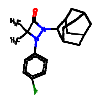 CC1(C)C(=O)N(C2C3CC4CC(C3)CC2C4)N1c1ccc(F)cc1